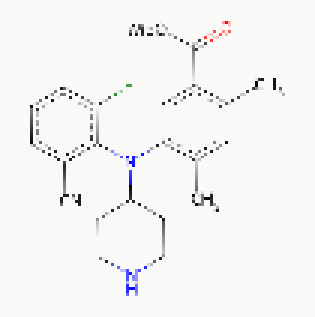 COC(=O)c1cc(N(c2c(F)cccc2C#N)C2CCNCC2)c(C)cc1C